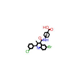 Cc1c(-c2cccc(Cl)c2)nc2ccc(Br)cc2c1C(=O)NC12CCC(C(=O)O)(CC1)CC2